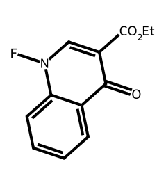 CCOC(=O)c1cn(F)c2ccccc2c1=O